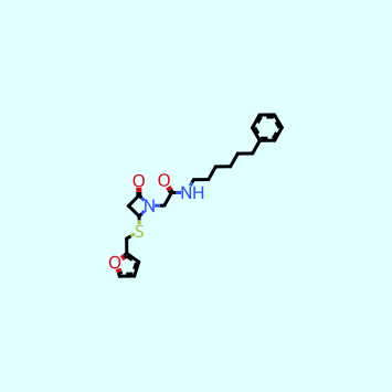 O=C(CN1C(=O)CC1SCc1ccco1)NCCCCCCc1ccccc1